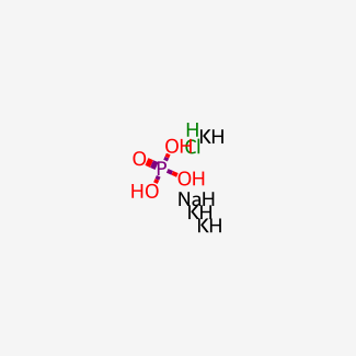 Cl.O=P(O)(O)O.[KH].[KH].[KH].[NaH]